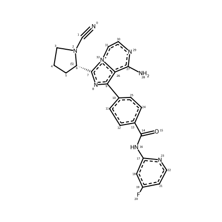 N#CN1CCC[C@H]1c1nc(-c2ccc(C(=O)Nc3cc(F)ccn3)cc2)c2c(N)nccn12